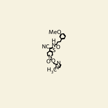 COc1cccc(CCC(=O)Nc2sc3c(c2C#N)CCN(C(=O)OCc2nccn2C)C3)c1